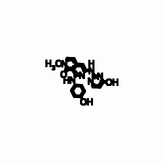 Cn1ccc2cc(Nc3nccc(O)n3)nc(N[C@H]3CC[C@H](O)CC3)c2c1=O